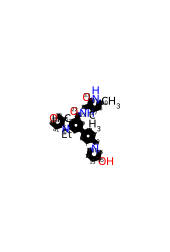 CCN(c1cc(-c2ccc(CN3CCC[C@@H](O)C3)cc2)cc(C(=O)NCc2c(C)cc(C)[nH]c2=O)c1C)C1CCOCC1